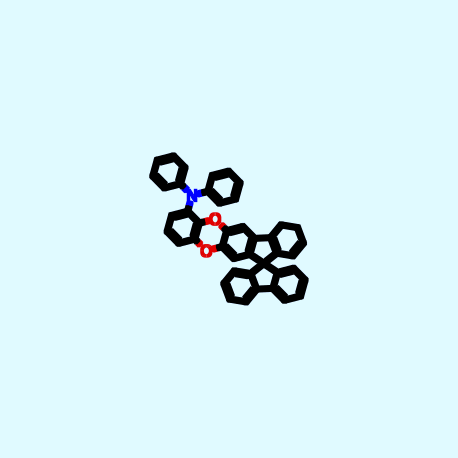 C1=CC2=C(CC1)c1cc3c(cc1C21c2ccccc2-c2ccccc21)Oc1cccc(N(c2ccccc2)c2ccccc2)c1O3